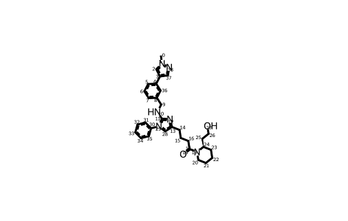 Cn1cc(-c2cccc(CNc3nc(CCCC(=O)N4CCCC[C@@H]4CCO)cn3-c3ccccc3)c2)cn1